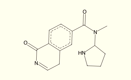 CN(C(=O)c1ccc2c(c1)CC=NC2=O)C1CCCN1